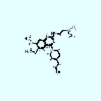 COc1cc2nc(NCCN(C)C)nc(N3CCC(CCO)CC3)c2cc1OC